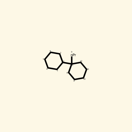 CCCC1(C2CCCCC2)CCCCC1